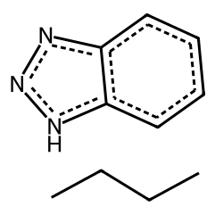 CCCC.c1ccc2[nH]nnc2c1